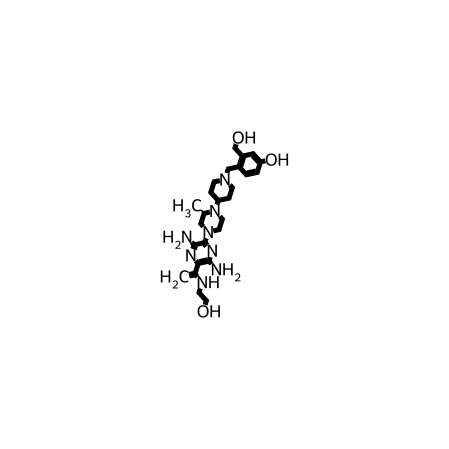 C=C(NCCO)c1nc(N)c(N2CCN(C3CCN(Cc4ccc(O)cc4CO)CC3)[C@@H](C)C2)nc1N